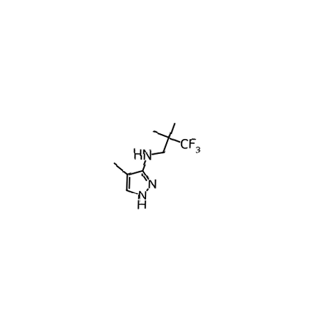 Cc1c[nH]nc1NCC(C)(C)C(F)(F)F